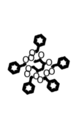 O=CC(OC(=O)c1ccccc1)C(OC(=O)c1ccccc1)C(OC(=O)c1ccccc1)C(COC(=O)c1ccccc1)OC(=O)c1ccccc1